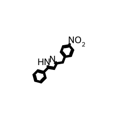 O=[N+]([O-])c1ccc(Cc2cc(-c3ccccc3)[nH]n2)cc1